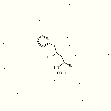 CC(C)(C)C(CC(O)Cc1ccccc1)NC(=O)O